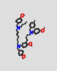 CCCCN(C/C=C/CCCCN(Cc1ccc(OC)cc1)c1ccc(OC)c(CCCCN(Cc2ccc(C)cc2)c2ccc(OC)cc2)c1)Cc1ccc(OC)cc1